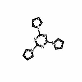 c1ccn(-c2nc(-n3cccc3)nc(-n3cccc3)n2)c1